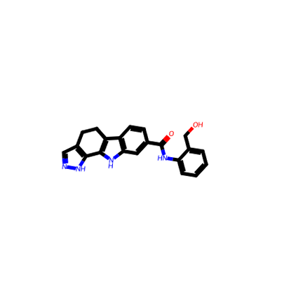 O=C(Nc1ccccc1CO)c1ccc2c3c([nH]c2c1)-c1[nH]ncc1CC3